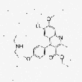 CCNCC.CCOC(=O)c1c(C)nc2cc(OC)c(OC)cc2c1-c1ccc(OC)cc1